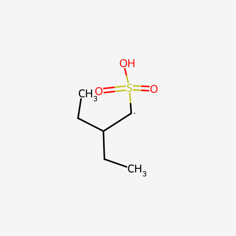 CCC([CH]S(=O)(=O)O)CC